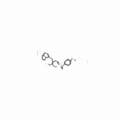 C=C(c1ccc(SC(C)(C)C)cc1)N1CCC2(CCC3=CC(F)=CC=C(C2)C3C)CC1